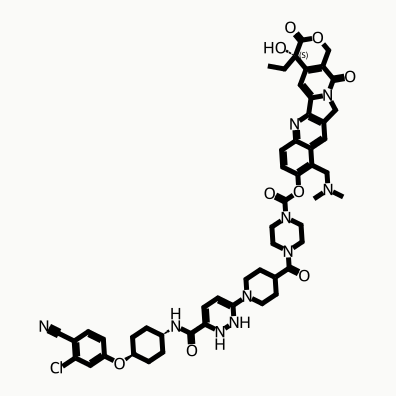 CC[C@@]1(O)C(=O)OCc2c1cc1n(c2=O)Cc2cc3c(CN(C)C)c(OC(=O)N4CCN(C(=O)C5CCN(C6=CC=C(C(=O)N[C@H]7CC[C@H](Oc8ccc(C#N)c(Cl)c8)CC7)NN6)CC5)CC4)ccc3nc2-1